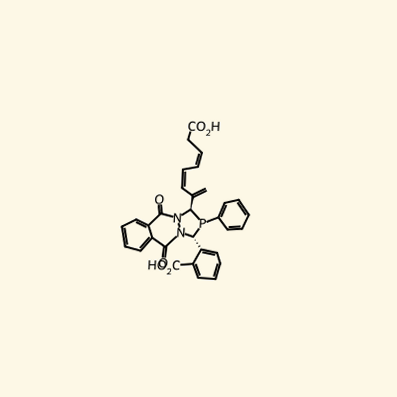 C=C(/C=C\C=C/CC(=O)O)[C@@H]1n2c(=O)c3ccccc3c(=O)n2[C@@H](c2ccccc2C(=O)O)P1c1ccccc1